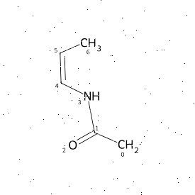 [CH2]C(=O)N/C=C\C